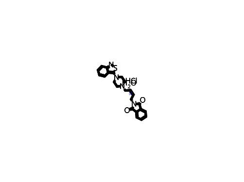 Cl.O.O=C1c2ccccc2C(=O)N1C/C=C\CN1CCN(c2snc3ccccc23)CC1